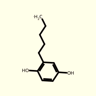 [CH2]CCCCc1cc(O)ccc1O